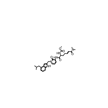 COC(=O)NC(CCC=CC(=O)N(C)C)C(=O)Nc1cccn(Cc2cc3c(CC(C)C)cccc3[nH]2)c1=O